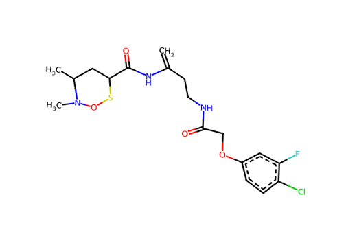 C=C(CCNC(=O)COc1ccc(Cl)c(F)c1)NC(=O)C1CC(C)N(C)OS1